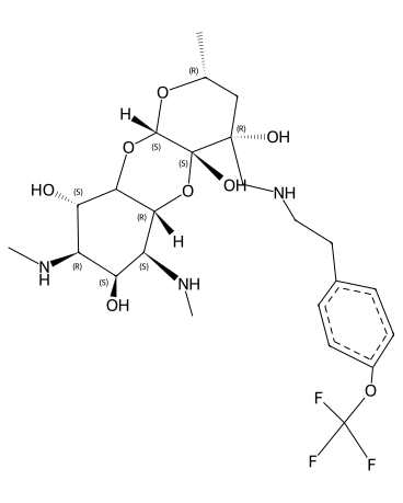 CN[C@@H]1[C@H](O)[C@H](NC)[C@H]2O[C@]3(O)[C@H](OC2[C@H]1O)O[C@H](C)C[C@@]3(O)CNCCc1ccc(OC(F)(F)F)cc1